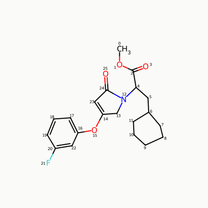 COC(=O)C(CC1CCCCC1)N1CC(Oc2cccc(F)c2)=CC1=O